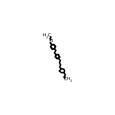 C=CCOCc1ccc(CCc2ccc(CCCCC3CCC(CC=C)CC3)cc2)cc1